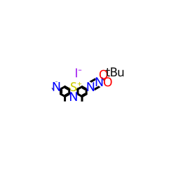 Cc1cc(N(C)C)cc2[s+]c3cc(N4CCN(C(=O)OC(C)(C)C)CC4)cc(C)c3nc12.[I-]